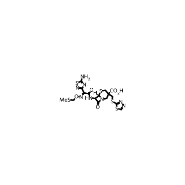 CSCON=C(C(=O)NC1C(=O)N2CC(CSc3nncs3)(C(=O)O)CS[C@H]12)c1nsc(N)n1